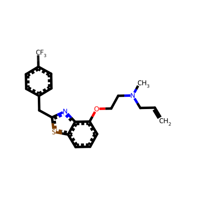 C=CCN(C)CCOc1cccc2sc(Cc3ccc(C(F)(F)F)cc3)nc12